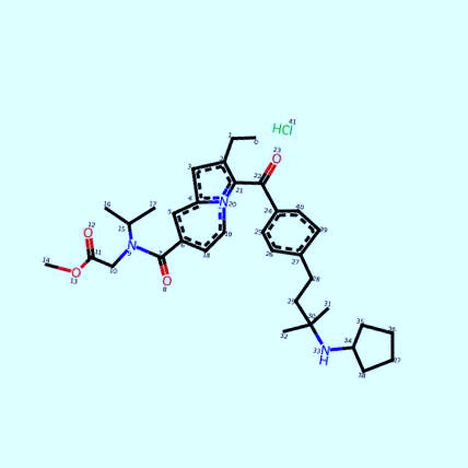 CCc1cc2cc(C(=O)N(CC(=O)OC)C(C)C)ccn2c1C(=O)c1ccc(CCC(C)(C)NC2CCCC2)cc1.Cl